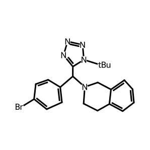 CC(C)(C)n1nnnc1C(c1ccc(Br)cc1)N1CCc2ccccc2C1